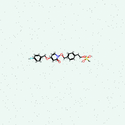 CS(=O)(=O)OCCc1ccc(COn2ccc(OCc3ccc(F)cc3)cc2=O)cc1